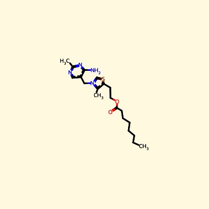 CCCCCCCC(=O)OCCc1sc[n+](Cc2cnc(C)nc2N)c1C